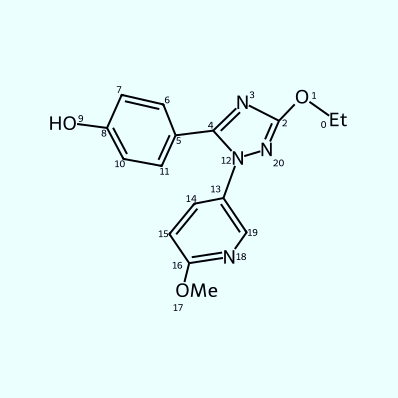 CCOc1nc(-c2ccc(O)cc2)n(-c2ccc(OC)nc2)n1